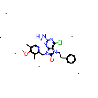 COc1c(C)cnc(Cn2c(=O)n(CCc3ccccc3)c3c(Cl)nc(N)nc32)c1C